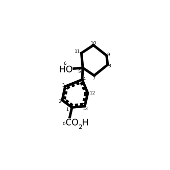 O=C(O)c1ccc(C2(O)CCCCC2)cc1